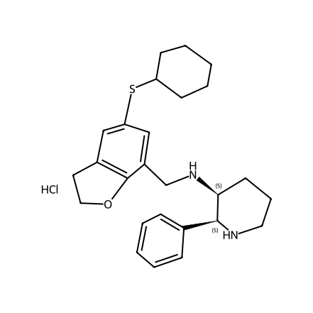 Cl.c1ccc([C@@H]2NCCC[C@@H]2NCc2cc(SC3CCCCC3)cc3c2OCC3)cc1